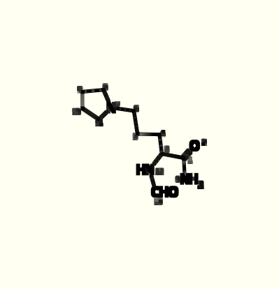 NC(=O)C(CCCN1CCCC1)NC=O